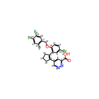 O=C(O)c1cc(C2=C(c3cc(Br)ccc3OCc3cc(F)c(F)cc3F)CCC2)cnn1